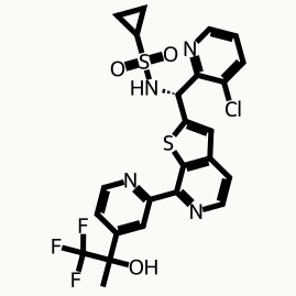 CC(O)(c1ccnc(-c2nccc3cc([C@H](NS(=O)(=O)C4CC4)c4ncccc4Cl)sc23)c1)C(F)(F)F